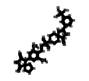 Cc1cc(N2C(=O)NC(=O)C23CCCC3)cc(C)c1/C=C/S(=O)(=O)N1CCC2(CC1)N=C(c1cccc(C(F)(F)F)c1)NC2=O